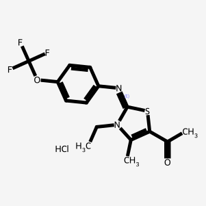 CCn1c(C)c(C(C)=O)s/c1=N/c1ccc(OC(F)(F)F)cc1.Cl